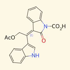 CC(=O)OC/C(=C1/C(=O)N(C(=O)O)c2ccccc21)c1c[nH]c2ccccc12